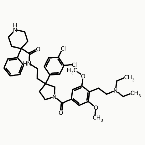 CCN(CC)CCc1c(OC)cc(C(=O)N2CCC(CCNC(=O)C3(c4ccccc4)CCNCC3)(c3ccc(Cl)c(Cl)c3)C2)cc1OC